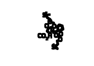 C[Si](C)(C)CCOCOc1cccc(OCOCC[Si](C)(C)C)c1C(=O)N1CC(=O)CC1C(=O)O